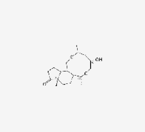 CC1CCC2C(CC[C@]3(C)C(=O)CCC23)[C@@H](C)CC[C@@H](O)C1